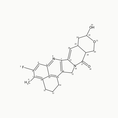 Cc1c(F)cc2nc3c(c4c2c1CCC4)CN1C(=O)C2COC(O)CC2C=C31